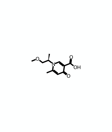 COC[C@@H](C)n1cc(C(=O)O)c(=O)cc1C